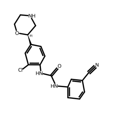 N#Cc1cccc(NC(=O)Nc2ccc([C@@H]3CNCCO3)cc2Cl)c1